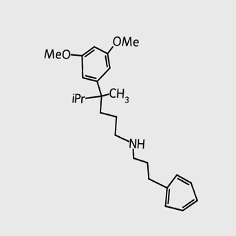 COc1cc(OC)cc(C(C)(CCCNCCCc2ccccc2)C(C)C)c1